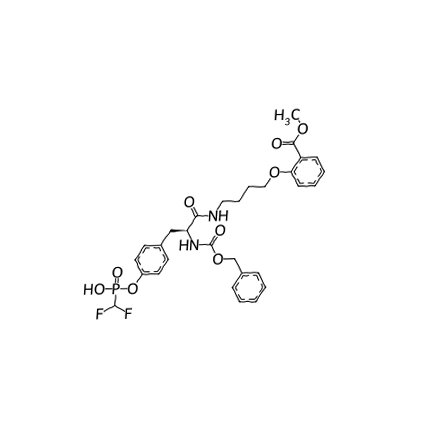 COC(=O)c1ccccc1OCCCCNC(=O)[C@H](Cc1ccc(OP(=O)(O)C(F)F)cc1)NC(=O)OCc1ccccc1